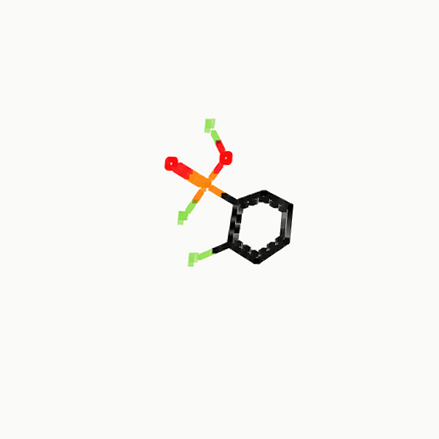 O=P(F)(OF)c1ccccc1F